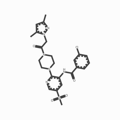 Cc1cc(C)n(CC(=O)N2CCN(c3ncc(S(C)(=O)=O)cc3NC(=O)c3cccc(Cl)c3)CC2)n1